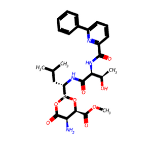 COC(=O)[C@@H]1OB([C@H](CC(C)C)NC(=O)[C@@H](NC(=O)c2cccc(-c3ccccc3)n2)[C@@H](C)O)OC(=O)[C@@H]1N